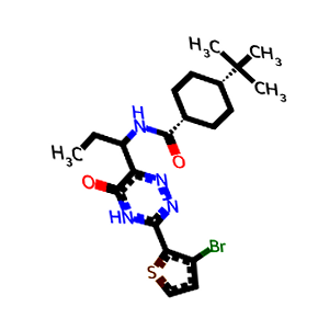 CCC(NC(=O)[C@H]1CC[C@@H](C(C)(C)C)CC1)c1nnc(-c2sccc2Br)[nH]c1=O